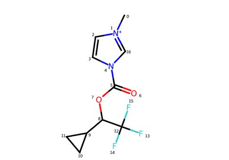 C[n+]1ccn(C(=O)OC(C2CC2)C(F)(F)F)c1